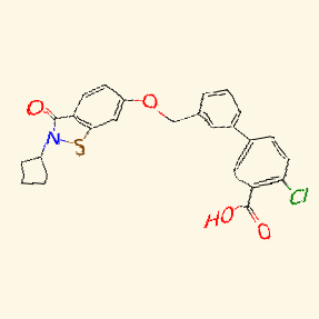 O=C(O)c1cc(-c2cccc(COc3ccc4c(=O)n(C5CCC5)sc4c3)c2)ccc1Cl